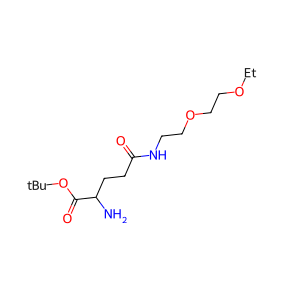 CCOCCOCCNC(=O)CCC(N)C(=O)OC(C)(C)C